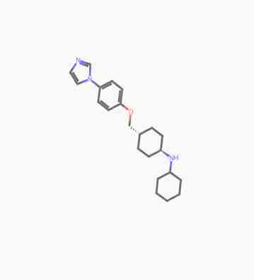 c1cn(-c2ccc(OC[C@H]3CC[C@H](NC4CCCCC4)CC3)cc2)cn1